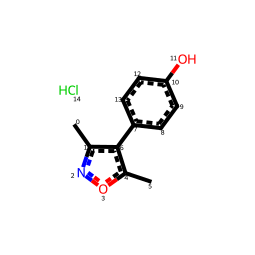 Cc1noc(C)c1-c1ccc(O)cc1.Cl